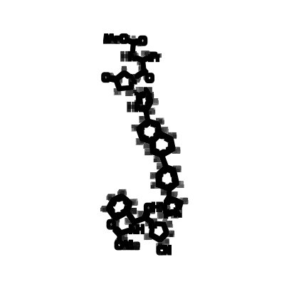 COC(=O)NC(C(=O)N1CC(=O)C[C@H]1c1ncc(-c2ccc3cc(-c4ccc(-c5cnc([C@@H]6C[C@H](C#N)CN6C(=O)[C@H](NC(=O)OC)c6ccccc6)[nH]5)cc4)ccc3c2)[nH]1)C(C)C